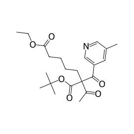 CCOC(=O)CCCCC(C(C)=O)(C(=O)OC(C)(C)C)C(=O)c1cncc(C)c1